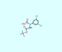 CC(C)(C)OC(=O)NC(C(=O)O)c1cc(Cl)cc(Cl)c1